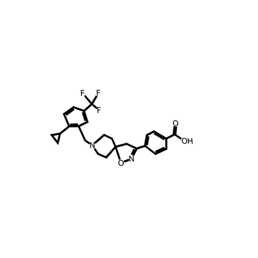 O=C(O)c1ccc(C2=NOC3(CCN(Cc4cc(C(F)(F)F)ccc4C4CC4)CC3)C2)cc1